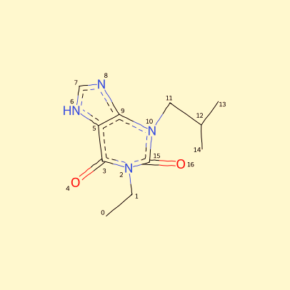 CCn1c(=O)c2[nH]cnc2n(CC(C)C)c1=O